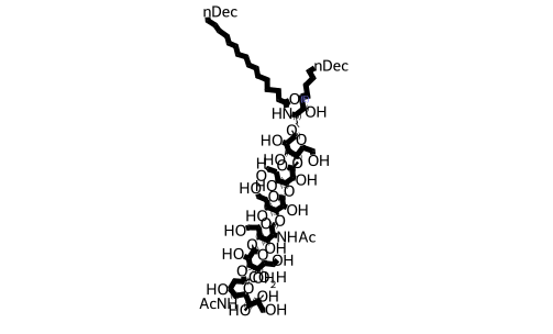 CCCCCCCCCCCCC/C=C/[C@@H](O)[C@H](CO[C@@H]1OC(CO)[C@@H](O[C@@H]2OC(CO)[C@H](O)[C@H](O[C@H]3OC(CO)[C@H](O)[C@H](O[C@@H]4OC(CO)[C@@H](O[C@@H]5OC(CO)[C@H](O)[C@H](O[C@]6(C(=O)O)CC(O)[C@@H](NC(C)=O)C([C@H](O)[C@H](O)CO)O6)C5O)[C@H](O)C4NC(C)=O)C3O)C2O)[C@H](O)C1O)NC(=O)CCCCCCCCCCCCCCCCCCCCCCCCC